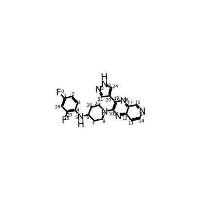 Fc1ccc(NC2CCN(c3nc4ccncc4nc3-c3cn[nH]c3)CC2)c(F)c1